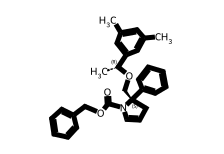 Cc1cc(C)cc([C@@H](C)OC[C@@]2(c3ccccc3)CC=CN2C(=O)OCc2ccccc2)c1